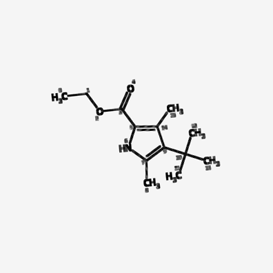 CCOC(=O)c1[nH]c(C)c(C(C)(C)C)c1C